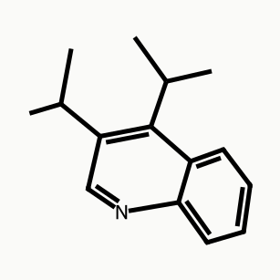 CC(C)c1cnc2ccccc2c1C(C)C